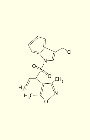 C=CC(c1c(C)noc1C)S(=O)(=O)n1cc(CCl)c2ccccc21